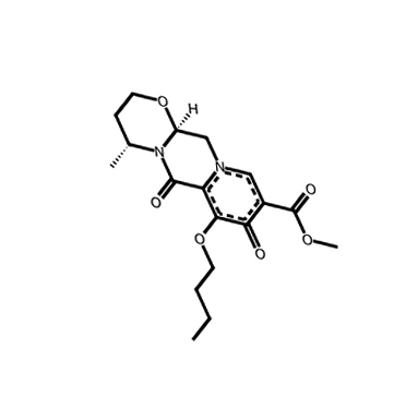 CCCCOc1c2n(cc(C(=O)OC)c1=O)C[C@@H]1OCC[C@@H](C)N1C2=O